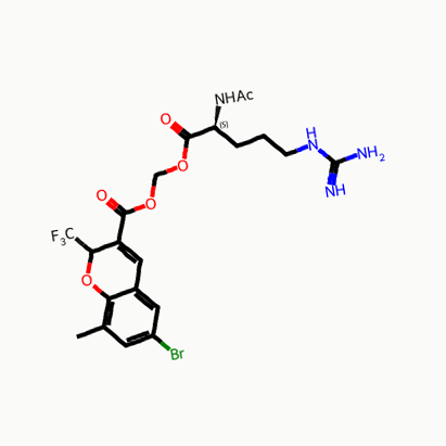 CC(=O)N[C@@H](CCCNC(=N)N)C(=O)OCOC(=O)C1=Cc2cc(Br)cc(C)c2OC1C(F)(F)F